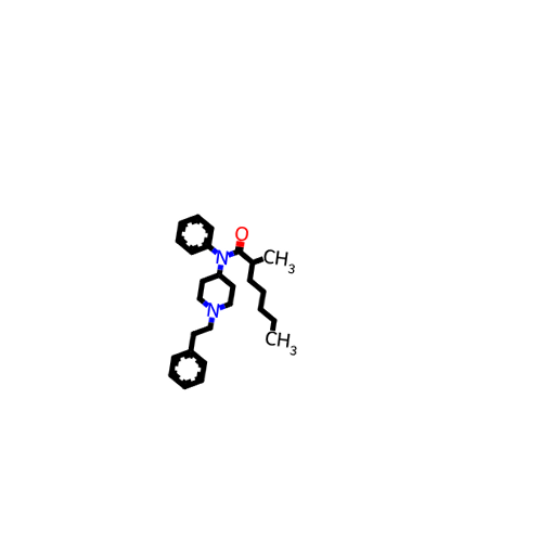 CCCCCC(C)C(=O)N(c1ccccc1)C1CCN(CCc2ccccc2)CC1